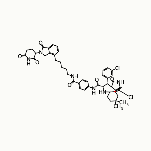 CC1(C)CCC2(CC1)N[C@@H](C(=O)Nc1ccc(C(=O)NCCCCCc3cccc4c3CN(C3CCC(=O)NC3=O)C4=O)cc1)[C@H](c1cccc(Cl)c1)[C@]21C(=O)Nc2cc(Cl)ccc21